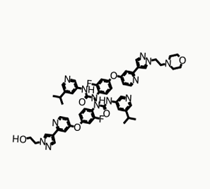 CC(C)c1cncc(NC(=O)N(c2ccc(Oc3ccnc(-c4cnn(CCO)c4)c3)cc2F)N(C(=O)Nc2cncc(C(C)C)c2)c2ccc(Oc3ccnc(-c4cnn(CCN5CCOCC5)c4)c3)cc2F)c1